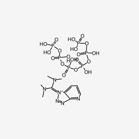 CN(C)C(N(C)C)=[N+]1N=Nc2ncccc21.O=P(O)(O)OP(=O)(O)OP(=O)(O)OP(=O)(O)OP(=O)(O)OP(=O)(O)O